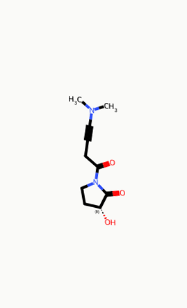 CN(C)C#CCC(=O)N1CC[C@@H](O)C1=O